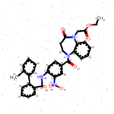 CCOC(=O)CN1C(=O)CCN(C(=O)c2ccc(NC(=O)c3ccccc3-c3ccccc3C)c([N+](=O)[O-])c2)c2ccccc21